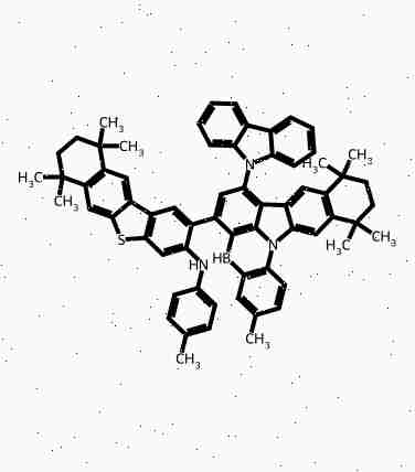 Cc1ccc(Nc2cc3sc4cc5c(cc4c3cc2-c2cc(-n3c4ccccc4c4ccccc43)c3c4cc6c(cc4n4c3c2Bc2cc(C)ccc2-4)C(C)(C)CCC6(C)C)C(C)(C)CCC5(C)C)cc1